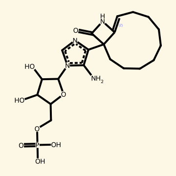 Nc1c(C23CCCCCCCC/C=C/2NC3=O)ncn1C1OC(COP(=O)(O)O)C(O)C1O